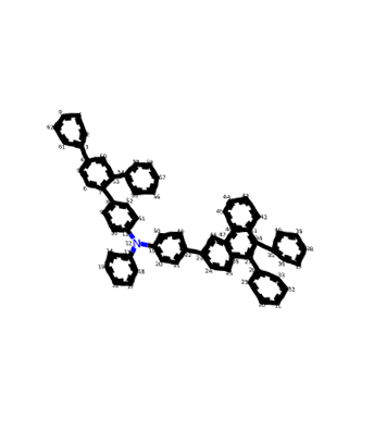 c1ccc(-c2ccc(-c3ccc(N(c4ccccc4)c4ccc(-c5ccc6c(-c7ccccc7)c(-c7ccccc7)c7ccccc7c6c5)cc4)cc3)c(-c3ccccc3)c2)cc1